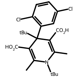 CC1=C(C(=O)O)C(c2cc(Cl)ccc2Cl)(C(C)(C)C)C(C(=O)O)=C(C)N1C(C)(C)C